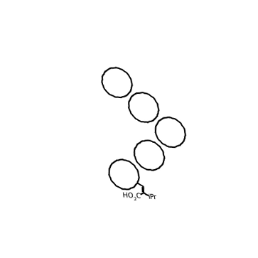 C1CCCCCCCCCCCCCC1.C1CCCCCCCCCCCCCC1.C1CCCCCCCCCCCCCC1.C1CCCCCCCCCCCCCC1.CC(C)C(=CC1CCCCCCCCCCCCCC1)C(=O)O